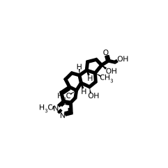 Cn1ncc2c1C=C1CC[C@@H]3[C@H]([C@@H](O)C[C@@]4(C)[C@H]3CC[C@]4(O)C(=O)CO)[C@@]1(C)C2